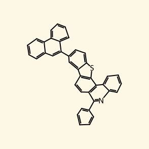 c1ccc(-c2nc3ccccc3c3c2ccc2c4cc(-c5cc6ccccc6c6ccccc56)ccc4sc23)cc1